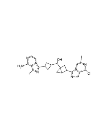 Nc1nccn2c(C3CC(C(O)C45CC(c6ncc7c(Cl)nc(I)cn67)C4C5)C3)nc(I)c12